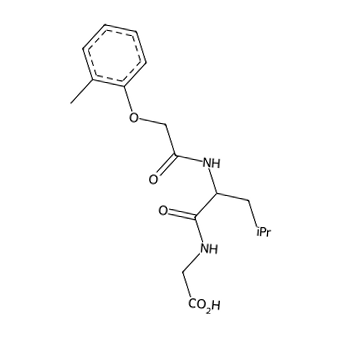 Cc1ccccc1OCC(=O)NC(CC(C)C)C(=O)NCC(=O)O